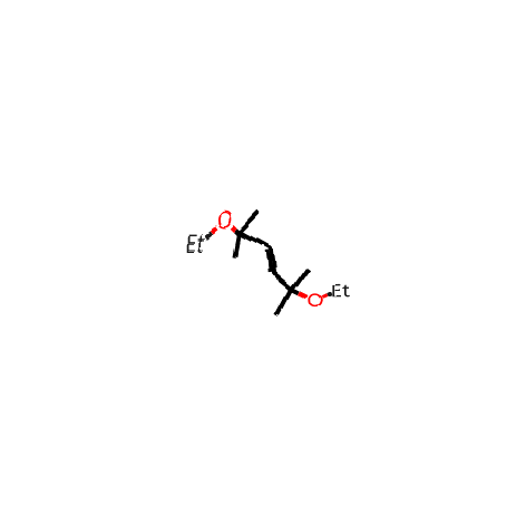 CCOC(C)(C)C=CC(C)(C)OCC